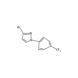 CC(=O)c1ccn(-c2ccc(C(F)(F)F)cc2)n1